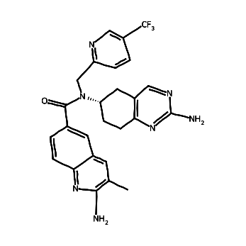 Cc1cc2cc(C(=O)N(Cc3ccc(C(F)(F)F)cn3)[C@H]3CCc4nc(N)ncc4C3)ccc2nc1N